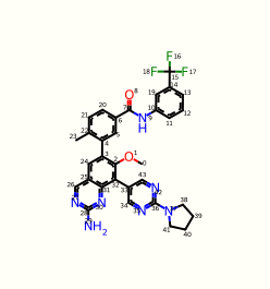 COc1c(-c2cc(C(=O)Nc3cccc(C(F)(F)F)c3)ccc2C)cc2cnc(N)nc2c1-c1cnc(N2CCCC2)nc1